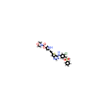 O=C(O[C@H]1CN[C@H](C#Cc2cc3ncnc(Nc4ccc(CS(=O)(=O)c5ccccc5)c(Cl)c4)c3s2)C1)N1CCOCC1